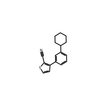 N#Cc1sccc1-c1cccc(C2CCCCC2)c1